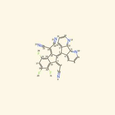 N#C/C=C1/C(=C2c3cccnc3-c3ncccc32)C(=C(C#N)C#N)c2c(F)cc(F)c(F)c21